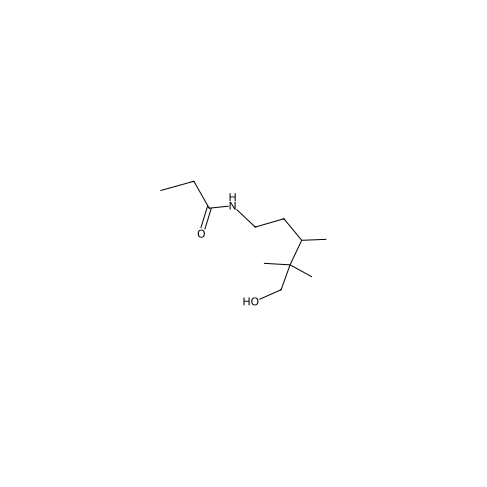 CCC(=O)NCCC(C)C(C)(C)CO